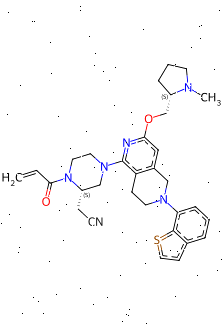 C=CC(=O)N1CCN(c2nc(OC[C@@H]3CCCN3C)cc3c2CCN(c2cccc4ccsc24)C3)C[C@@H]1CC#N